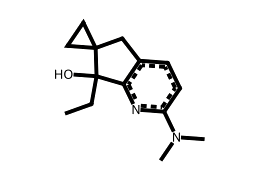 CCC1(O)c2nc(N(C)C)ccc2CC12CC2